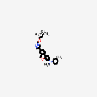 C[C@H]1CCC[C@@H](N(C)c2ccc3c(c2)OCc2cc(-c4cnn(COCC[Si](C)(C)C)c4)ccc2-3)C1